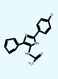 CC(=O)Nc1[nH]c(-c2ccc(Cl)cc2)nc1-c1ccccc1